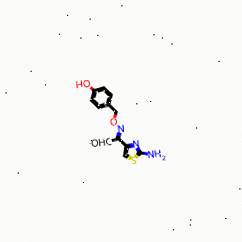 Nc1nc(/C([C]=O)=N/OCc2ccc(O)cc2)cs1